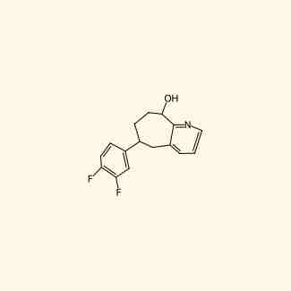 OC1CCC(c2ccc(F)c(F)c2)Cc2cccnc21